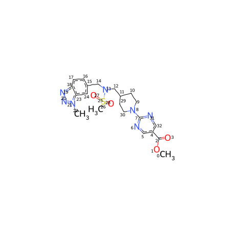 COC(=O)c1cnc(N2CCC(CN(Cc3ccc4nnn(C)c4c3)S(C)(=O)=O)CC2)nc1